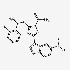 CC(O)c1ccc2ncc(-c3cc(O[C@H](C)c4ccccc4Cl)c(C(N)=O)s3)n2c1